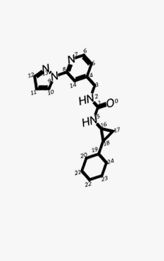 O=C(NCc1ccnc(-n2cccn2)c1)NC1CC1C1CCCCC1